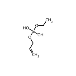 C=CCO[Si](O)(O)OCC